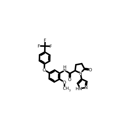 COc1ccc(Oc2ccc(C(F)(F)F)cc2)cc1NC(=O)C1CCC(=O)N1c1cn[nH]c1